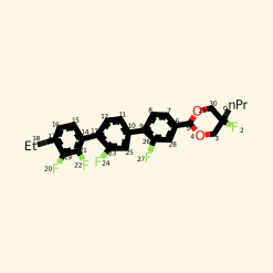 CCCC1(F)COC(c2ccc(-c3ccc(-c4ccc(CC)c(F)c4F)c(F)c3)c(F)c2)OC1